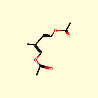 CC(=O)OC=CC(C)=COC(C)=O